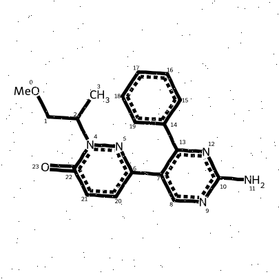 COCC(C)n1nc(-c2cnc(N)nc2-c2ccccc2)ccc1=O